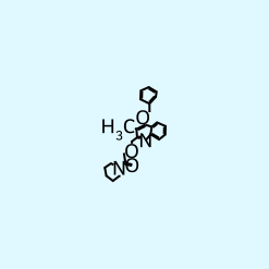 Cc1c(COCC(=O)N2CCCCC2)nc2ccccc2c1OCc1ccccc1